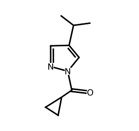 CC(C)c1cnn(C(=O)C2CC2)c1